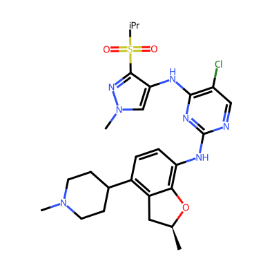 CC(C)S(=O)(=O)c1nn(C)cc1Nc1nc(Nc2ccc(C3CCN(C)CC3)c3c2O[C@@H](C)C3)ncc1Cl